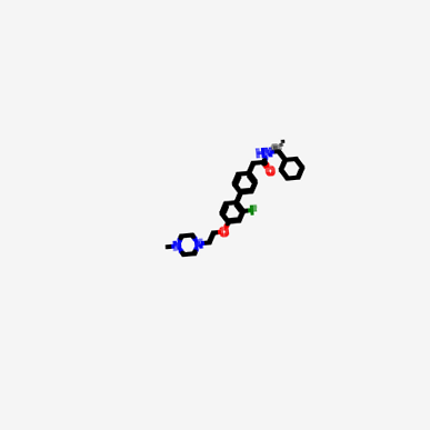 C[C@@H](NC(=O)Cc1ccc(-c2ccc(OCCN3CCN(C)CC3)cc2F)cc1)C1CCCCC1